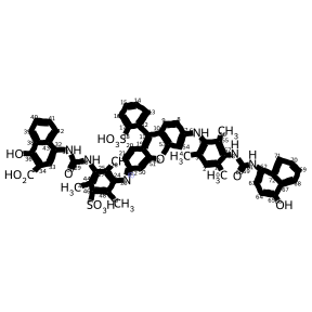 Cc1cc(C)c(Nc2ccc3c(-c4ccccc4S(=O)(=O)O)c4cc/c(=N\c5c(C)c(NC(=O)Nc6cc(C(=O)O)c(O)c7ccccc67)c(C)c(S(=O)(=O)O)c5C)cc-4oc3c2)c(C)c1NC(=O)Nc1ccc(O)c2ccccc12